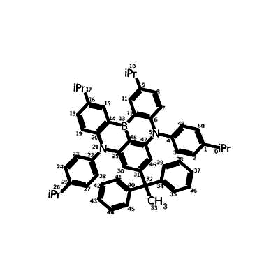 CC(C)c1ccc(N2c3ccc(C(C)C)cc3B3c4cc(C(C)C)ccc4N(c4ccc(C(C)C)cc4)c4cc(C(C)(c5ccccc5)c5ccccc5)cc2c43)cc1